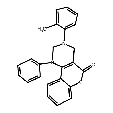 Cc1ccccc1N1Cc2c(c3ccccc3oc2=O)N(c2ccccc2)C1